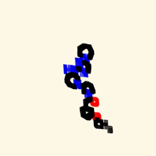 COc1cccc(CC(=O)N2CCCC(N3CCCCC(Nc4nccc(N5CCCCCC5)n4)C3)C2)c1